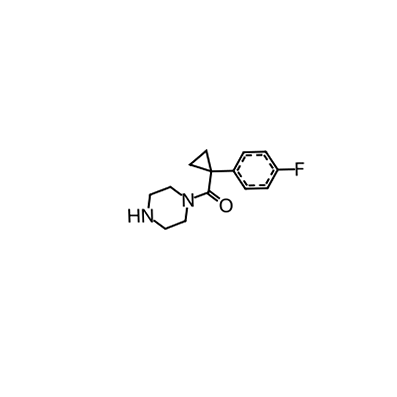 O=C(N1CCNCC1)C1(c2ccc(F)cc2)CC1